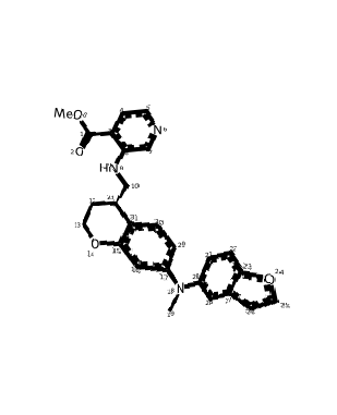 COC(=O)c1ccncc1NC[C@@H]1CCOc2cc(N(C)c3ccc4occc4c3)ccc21